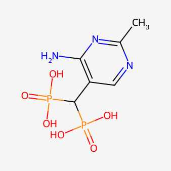 Cc1ncc(C(P(=O)(O)O)P(=O)(O)O)c(N)n1